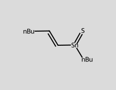 CCCCC=[CH][Sn](=[S])[CH2]CCC